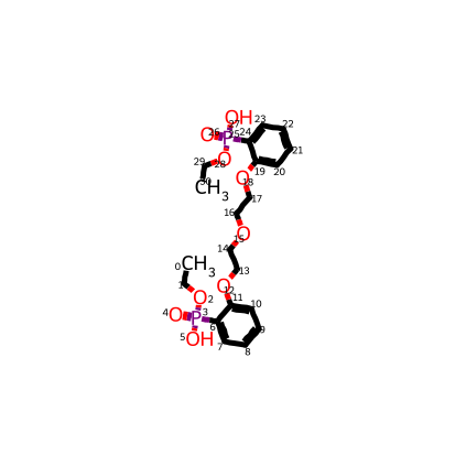 CCOP(=O)(O)c1ccccc1OCCOCCOc1ccccc1P(=O)(O)OCC